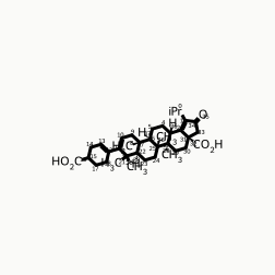 CC(C)C1=C2[C@H]3CC[C@@H]4[C@@]5(C)CC=C(C6=CCC(C(=O)O)CC6)C(C)(C)[C@@H]5CC[C@@]4(C)[C@]3(C)CC[C@@]2(C(=O)O)CC1=O